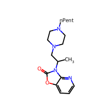 CCCCCN1CCN(CC(C)n2c(=O)oc3cccnc32)CC1